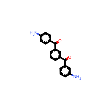 Nc1ccc(C(=O)c2cccc(C(=O)c3cccc(N)c3)c2)cc1